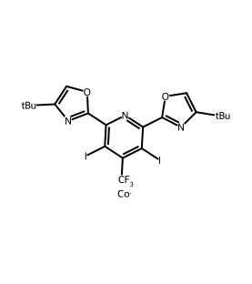 CC(C)(C)c1coc(-c2nc(-c3nc(C(C)(C)C)co3)c(I)c(C(F)(F)F)c2I)n1.[Co]